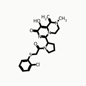 C=C1c2c(O)c(=O)nc(C3CCCN3C(=O)CSc3ccccc3Cl)n2CCN1C